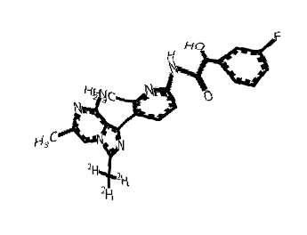 [2H]C([2H])([2H])c1nc(-c2ccc(NC(=O)C(O)c3cccc(F)c3)nc2C)c2c(N)nc(C)cn12